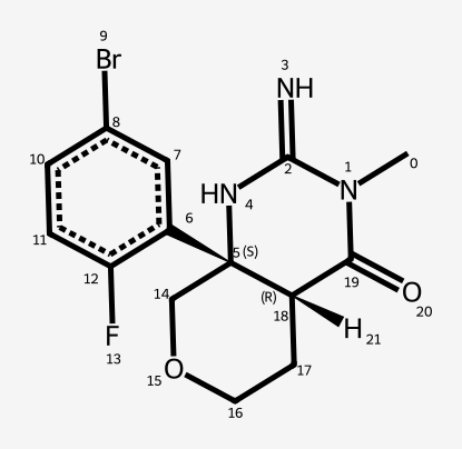 CN1C(=N)N[C@@]2(c3cc(Br)ccc3F)COCC[C@H]2C1=O